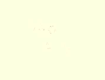 C[C@@H](OCC1CN(C)C1)c1nnc(C2CC([C@@]3(c4ccccc4)C=C(C(N)=O)ON3)C2)o1